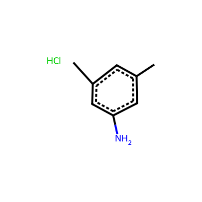 Cc1cc(C)cc(N)c1.Cl